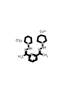 CC(=NNN1CCCCC1)c1cccc(C(C)=NNN2CCCCC2)n1.[Cl-].[Cl-].[Co+2]